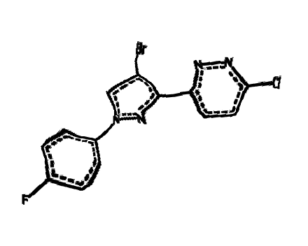 Fc1ccc(-n2cc(Br)c(-c3ccc(Cl)nn3)n2)cc1